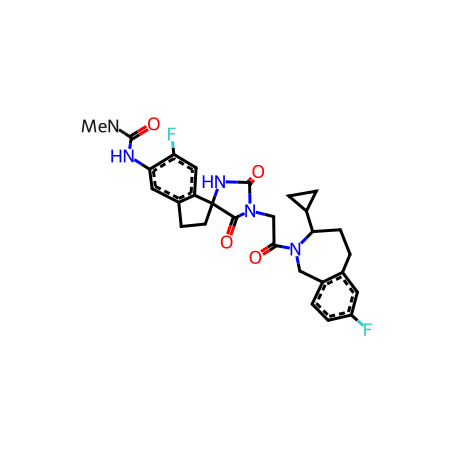 CNC(=O)Nc1cc2c(cc1F)C1(CC2)NC(=O)N(CC(=O)N2Cc3ccc(F)cc3CCC2C2CC2)C1=O